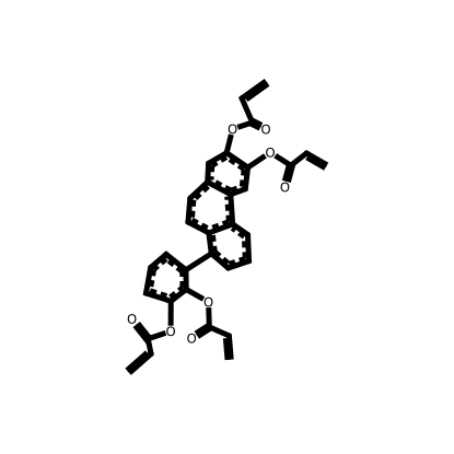 C=CC(=O)Oc1cc2ccc3c(-c4cccc(OC(=O)C=C)c4OC(=O)C=C)cccc3c2cc1OC(=O)C=C